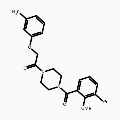 COc1c(C(=O)N2CCN(C(=O)COc3cccc(C)c3)CC2)cccc1C(C)C